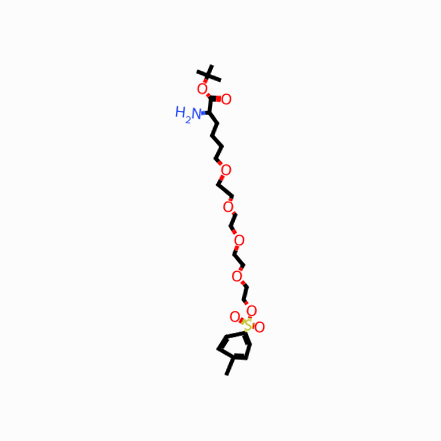 Cc1ccc(S(=O)(=O)OCCOCCOCCOCCOCCCCC(N)C(=O)OC(C)(C)C)cc1